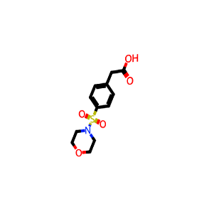 O=C(O)Cc1ccc(S(=O)(=O)N2CCOCC2)cc1